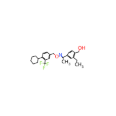 CCc1cc(/C(C)=N/OCc2ccc(C3CCCCC3)c(C(F)(F)F)c2)ccc1CO